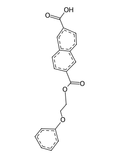 O=C(O)c1ccc2cc(C(=O)OCCOc3ccccc3)ccc2c1